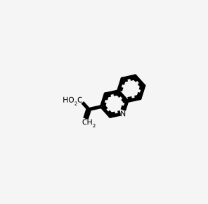 C=C(C(=O)O)c1cnc2ccccc2c1